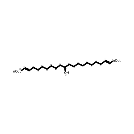 CCCCCCCCC=CCCCCCCCCC(O)CCCCCCCC=CCCCCCCCC